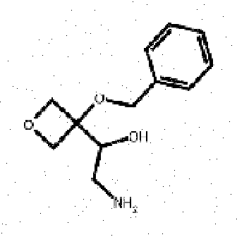 NCC(O)C1(OCc2ccccc2)COC1